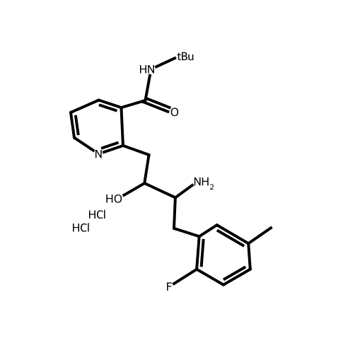 Cc1ccc(F)c(CC(N)C(O)Cc2ncccc2C(=O)NC(C)(C)C)c1.Cl.Cl